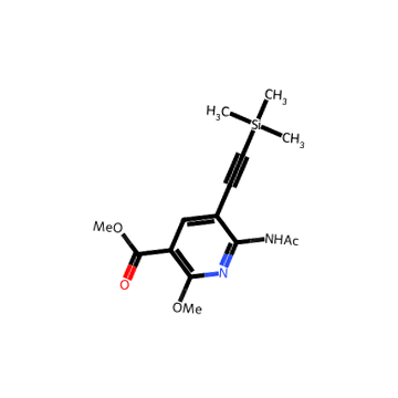 COC(=O)c1cc(C#C[Si](C)(C)C)c(NC(C)=O)nc1OC